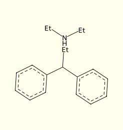 CCC(c1ccccc1)c1ccccc1.CCNCC